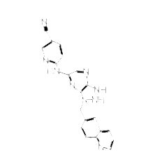 N#Cc1ccc(Nc2cnc3c(n2)N(Cc2ccc4ncccc4c2)NN3)nc1